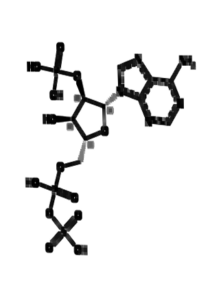 Nc1ncnc2c1ncn2[C@@H]1O[C@H](COP(=O)(O)OS(=O)(=O)O)[C@@H](O)[C@H]1OP(=O)(O)O